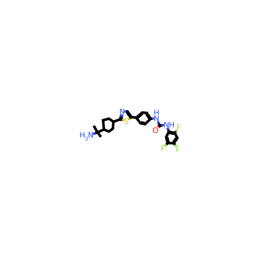 CC(C)(N)C1CCC(c2ncc(-c3ccc(NC(=O)Nc4cc(F)c(F)cc4F)cc3)s2)CC1